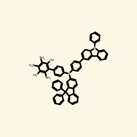 Bc1c(B)c(O)c(-c2ccc(N(c3ccc(C4=CCC5C(=C4)c4ccccc4N5c4ccccc4)cc3)c3ccc4c(c3)C(c3ccccc3)(c3ccccc3)c3ccccc3-4)cc2)c(B)c1O